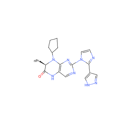 CCC[C@@H]1C(=O)Nc2cnc(-n3ccnc3-c3cn[nH]c3)nc2N1C1CCCC1